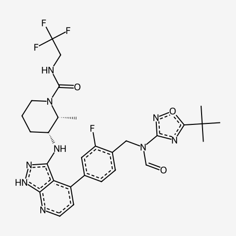 C[C@@H]1[C@H](Nc2n[nH]c3nccc(-c4ccc(CN(C=O)c5noc(C(C)(C)C)n5)c(F)c4)c23)CCCN1C(=O)NCC(F)(F)F